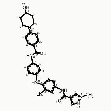 Cn1cc(C(=O)Nc2ccc(Nc3ccc(NC(=O)c4ccc(N5CCC(O)CC5)cc4)cc3)c(Cl)c2)cn1